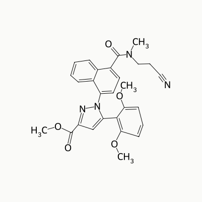 COC(=O)c1cc(-c2c(OC)cccc2OC)n(-c2ccc(C(=O)N(C)CCC#N)c3ccccc23)n1